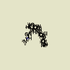 CN(C)C/C=C/C(=O)NCCN1C[C@@H]2CC2Oc2cc3ncnc(Nc4ccc(Oc5ccn6ncnc6c5)c(Cl)c4)c3nc21